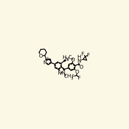 COc1cc(-c2c3c(C#N)cc(-c4cnn(C5CCCCO5)c4)cc3nn2C)cc(OC(F)F)c1C(=O)N[C@@H]1CC1(F)F